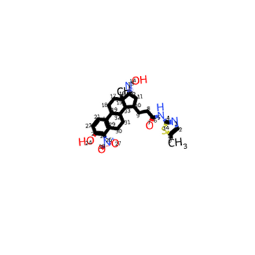 Cc1cnc(NC(=O)CCC2C/C(=N\O)C3(C)CCC4c5ccc(O)c([N+](=O)[O-])c5CCC4C23)s1